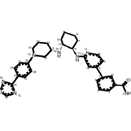 NC(=O)c1cccc(-c2ccnc(N[C@@H]3CCCC[C@H]3N[C@H]3CCCN(c4ccc(-c5ncon5)cc4)C3)c2)c1